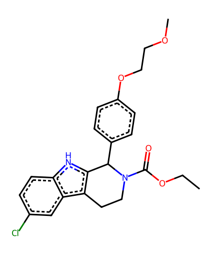 CCOC(=O)N1CCc2c([nH]c3ccc(Cl)cc23)C1c1ccc(OCCOC)cc1